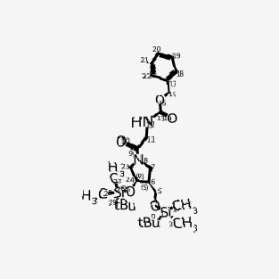 CC(C)(C)[Si](C)(C)OC[C@@H]1CN(C(=O)CNC(=O)OCc2ccccc2)C[C@@H]1O[Si](C)(C)C(C)(C)C